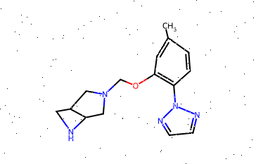 Cc1ccc(-n2nccn2)c(OCN2CC3CNC3C2)c1